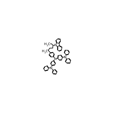 CCC(CCC(C)c1ccc(N(c2ccc(N(c3ccccc3)c3ccccc3)cc2)c2ccc(N(c3ccccc3)c3ccccc3)cc2)cc1)n1c2ccccc2c2ccccc21